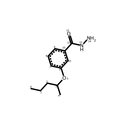 CCCC(C)Oc1cc[c]c(C(=O)NN)c1